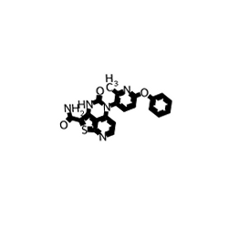 Cc1nc(Oc2ccccc2)ccc1N1C(=O)Nc2c(C(N)=O)sc3nccc1c23